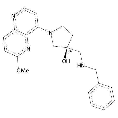 COc1ccc2nccc(N3CC[C@](O)(CNCc4ccccc4)C3)c2n1